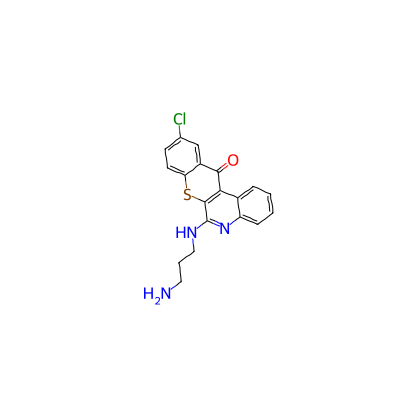 NCCCNc1nc2ccccc2c2c(=O)c3cc(Cl)ccc3sc12